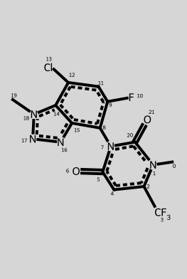 Cn1c(C(F)(F)F)cc(=O)n(-c2c(F)cc(Cl)c3c2nnn3C)c1=O